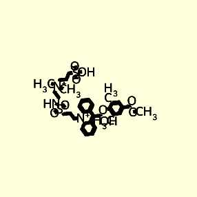 COC(=O)c1cc(C)c(OC(O)c2c3ccccc3[n+](CCCS(=O)(=O)NCC[N+](C)(C)CCCS(=O)(=O)O)c3ccccc23)c(C)c1